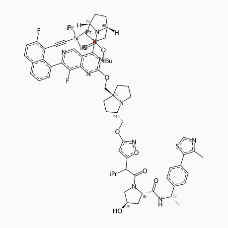 Cc1ncsc1-c1ccc([C@H](C)NC(=O)[C@@H]2C[C@@H](O)CN2C(=O)C(c2cc(OC[C@@H]3CC[C@]4(COc5nc(N6C[C@H]7CC[C@@H](C6)N7C(=O)OC(C)(C)C)c6cnc(-c7cccc8ccc(F)c(C#C[Si](C(C)C)(C(C)C)C(C)C)c78)c(F)c6n5)CCCN34)no2)C(C)C)cc1